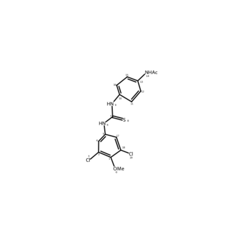 COc1c(Cl)cc(NC(=S)Nc2ccc(NC(C)=O)cc2)cc1Cl